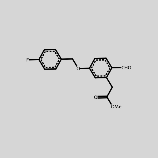 COC(=O)Cc1cc(OCc2ccc(F)cc2)ccc1C=O